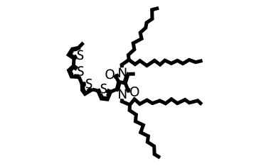 CCCCCCCCCCCCC(CCCCCCCCCC)CN1C(=O)C2=C(c3ccc(-c4ccc(-c5ccc(-c6ccc(C)s6)s5)s4)s3)N(CC(CCCCCCCCCC)CCCCCCCCCCCC)C(=O)C2=C1C